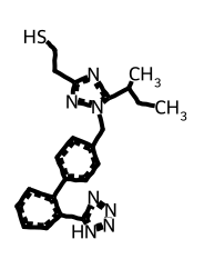 CCC(C)c1nc(CCS)nn1Cc1ccc(-c2ccccc2-c2nnn[nH]2)cc1